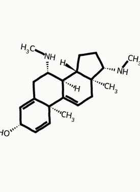 CN[C@H]1CC2=C[C@@H](O)C=C[C@]2(C)C2=CC[C@]3(C)[C@@H](NC)CC[C@H]3[C@@H]21